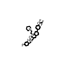 O=c1c(CNCc2ccc(F)cc2)cc2ccc(-c3ccc(OC(F)(F)F)cc3)cc2n1CCN1CCCCC1